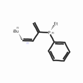 C=C(/C=C\[C@@H](C)CC)[P@](CC)c1ccccc1